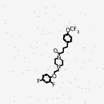 O=C(CCCc1ccc(OC(F)(F)F)cc1)N1CCN(CCOc2ccc(F)cc2F)CC1